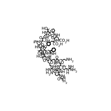 CC(C)C[C@H](NC(=O)[C@@H](NC(=O)[C@H](Cc1c[nH]c2ccccc12)NC(=O)[C@@H](NC(=O)[C@H](CCCNC(=N)N)NC(=O)CNC(=O)[C@H](CCCCN)NC(=O)[C@@H](NC(=O)[C@H](CCCNC(=N)N)NC(=O)[C@H](CCCCN)NC(=O)[C@H](C)N)C(C)C)[C@@H](C)O)[C@@H](C)O)C(=O)N[C@@H](CS)C(=O)NCC(=O)N[C@H](C(=O)N1CCC[C@H]1C(=O)N[C@@H](CCC(=O)O)C(=O)N[C@@H](Cc1ccc(O)cc1)C(=O)O)[C@@H](C)O